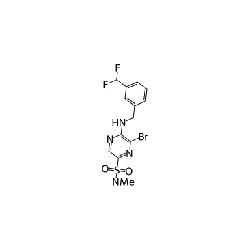 CNS(=O)(=O)c1cnc(NCc2cccc(C(F)F)c2)c(Br)n1